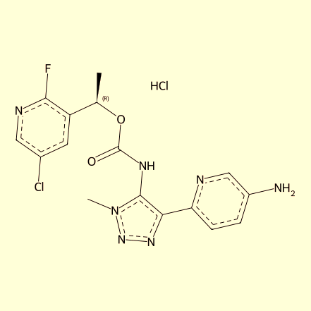 C[C@@H](OC(=O)Nc1c(-c2ccc(N)cn2)nnn1C)c1cc(Cl)cnc1F.Cl